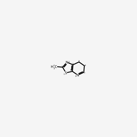 Cc1nc2c(s1)N=CCC2